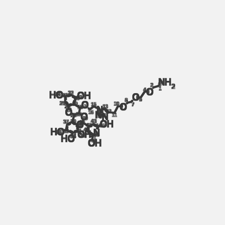 NCCOCCOCCOCCc1cn(CCOC2c3c(O)cc(O)cc3OC(c3cc(O)c(O)c(O)c3)C2OC(=O)c2cc(O)nc(O)c2)nn1